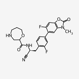 Cn1c(=O)oc2cc(F)c(-c3ccc(C[C@@H](C#N)NC(=O)C4CNCCCO4)c(F)c3)cc21